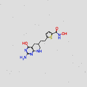 Nc1nc(O)c2c(n1)NCC(CCc1ccc(C(=O)NO)s1)C2